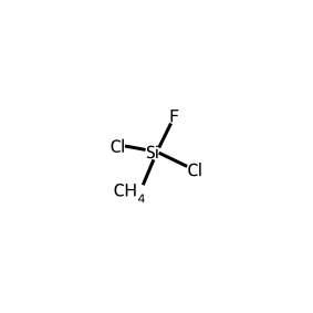 C.C[Si](F)(Cl)Cl